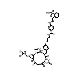 CC(C)[C@H]1NC(=O)C(CCCNC(=N)N)NC(=O)CNC(=O)[C@@H](CC(=O)O)NC(=O)C(Cc2ccc(OCCCNC(=O)c3ccc(NN=Cc4ccccc4S(=O)(=O)O)nc3)cc2)NC1=O